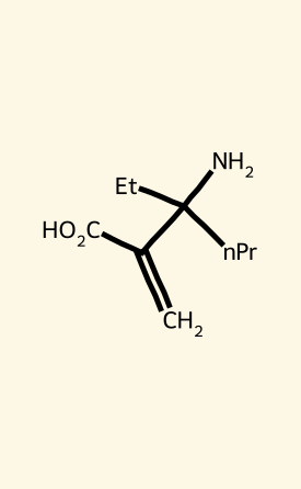 C=C(C(=O)O)C(N)(CC)CCC